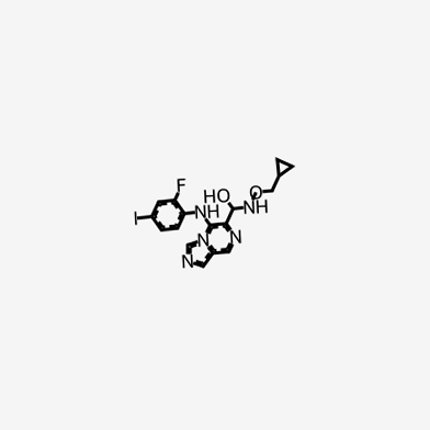 OC(NOCC1CC1)c1ncc2cncn2c1Nc1ccc(I)cc1F